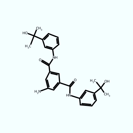 CC(C)(O)c1cccc(NC(=O)c2cc(N)cc(C(=O)Nc3cccc(C(C)(C)O)c3)c2)c1